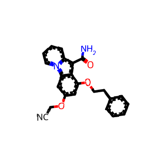 N#CCOc1cc(OCCc2ccccc2)c2c(C(N)=O)c3ccccn3c2c1